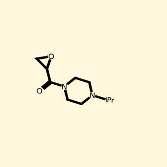 CC(C)N1CCN(C(=O)C2CO2)CC1